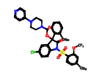 COc1ccc(S(=O)(=O)N2C(=O)C(OC(=O)N3CCN(c4ccncc4)CC3)(c3ccccc3OC)c3cc(Cl)ccc32)c(OC(F)(F)F)c1